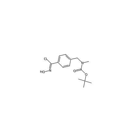 CN(Cc1ccc(/C(Cl)=N/O)cc1)C(=O)OC(C)(C)C